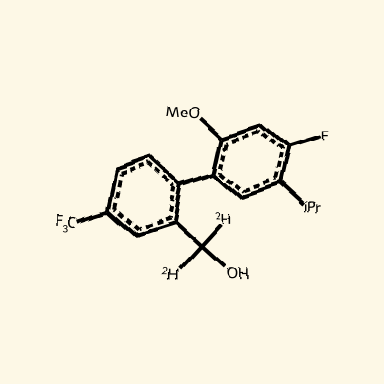 [2H]C([2H])(O)c1cc(C(F)(F)F)ccc1-c1cc(C(C)C)c(F)cc1OC